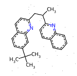 CC(Cc1ccc2ccc(C(C)(C)C)cc2n1)c1ccc2ccccc2n1